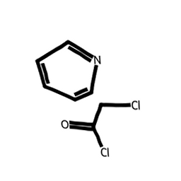 O=C(Cl)CCl.c1ccncc1